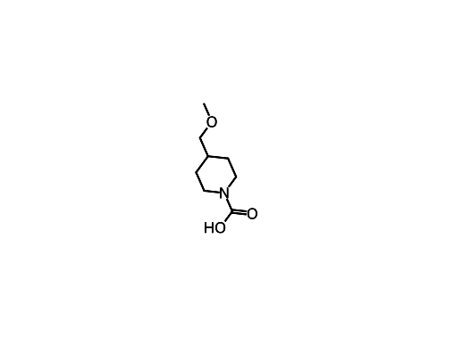 COCC1CCN(C(=O)O)CC1